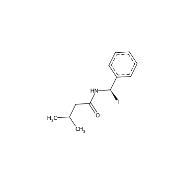 CC(C)CC(=O)N[C@H](I)c1ccccc1